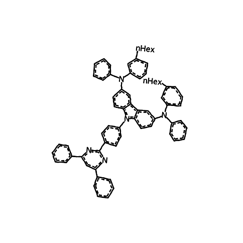 CCCCCCc1cccc(N(c2ccccc2)c2ccc3c(c2)c2cc(N(c4ccccc4)c4cccc(CCCCCC)c4)ccc2n3-c2ccc(-c3nc(-c4ccccc4)cc(-c4ccccc4)n3)cc2)c1